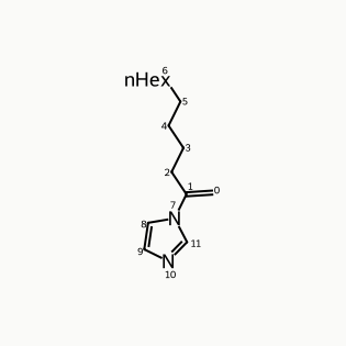 C=C(CCCCCCCCCC)n1ccnc1